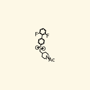 CC(=O)N1CCC(CS(=O)(=O)c2ccc(-c3c(F)cccc3F)cc2)CC1